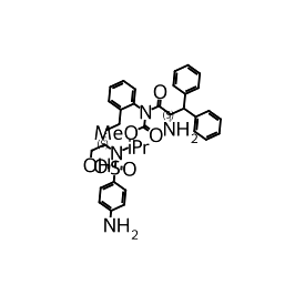 COC(=O)N(C(=O)[C@@H](N)C(c1ccccc1)c1ccccc1)c1ccccc1CC[C@@H](CO)N(C(C)C)S(=O)(=O)c1ccc(N)cc1